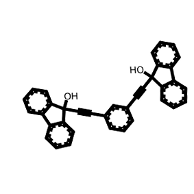 OC1(C#Cc2cccc(C#CC3(O)c4ccccc4-c4ccccc43)c2)c2ccccc2-c2ccccc21